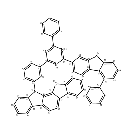 c1ccc(-c2nc(-c3cccc(-n4c5ccccc5c5ccc6c7ccccc7oc6c54)c3)nc(-c3ccc4c(c3)sc3cccc(-c5ccccc5)c34)n2)cc1